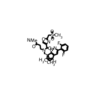 CNC(=O)CCN(C[C@@]12CC[C@@H](c3cc(-c4c(F)cccc4F)nnc31)C2(C)C)C(=O)c1coc(CS(C)(=O)=O)n1